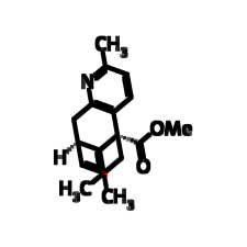 C/C=C1\[C@H]2C=C(C)C[C@]1(C(=O)OC)c1ccc(C)nc1C2